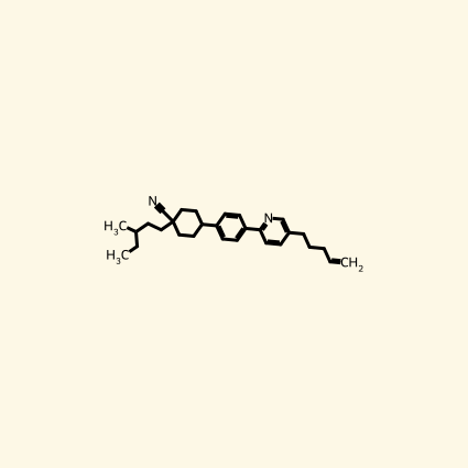 C=CCCCc1ccc(-c2ccc(C3CCC(C#N)(CCC(C)CC)CC3)cc2)nc1